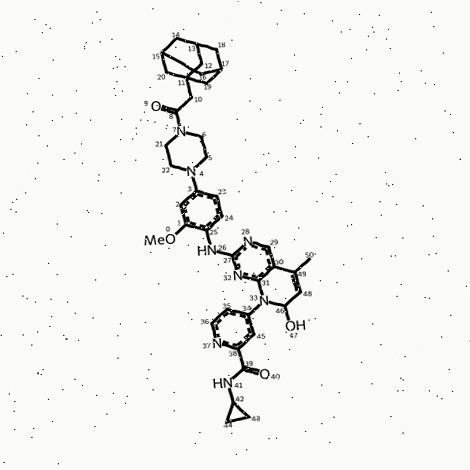 COc1cc(N2CCN(C(=O)CC34CC5CC(CC(C5)C3)C4)CC2)ccc1Nc1ncc2c(n1)N(c1ccnc(C(=O)NC3CC3)c1)C(O)C=C2C